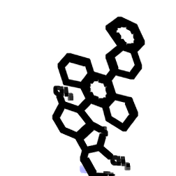 CC/C=C\C1C2=C(SC1C)C(c1c3c(c(C4=Cc5ccccc5CC4)c4c1CCC=C4)C=CCC3)C(C)CC2